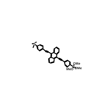 CO[Si](OC)(OC)c1ccc(C#Cc2c3ccccc3c(C#Cc3ccc(S(C)(C)C)cc3)c3ccccc23)cc1